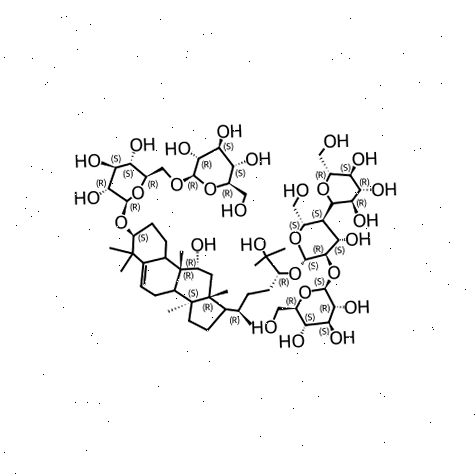 C[C@H](CC[C@@H](O[C@@H]1O[C@H](CO)[C@@H](C2O[C@H](CO)[C@@H](O)[C@H](O)[C@H]2O)[C@H](O)[C@H]1O[C@@H]1O[C@H](CO)[C@@H](O)[C@H](O)[C@H]1O)C(C)(C)O)C1CC[C@@]2(C)C3CC=C4C(CC[C@H](O[C@@H]5O[C@H](CO[C@@H]6O[C@H](CO)[C@@H](O)[C@H](O)[C@H]6O)[C@@H](O)[C@H](O)[C@H]5O)C4(C)C)[C@]3(C)[C@H](O)C[C@]12C